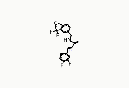 C=C(/C=C/c1ccc(F)c(F)c1)NCc1ccc(Cl)c(C(F)(F)F)c1